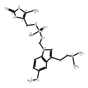 COc1ccc2c(c1)c(CCN(C)C)cn2COP(=O)(O)OCc1oc(=O)oc1C